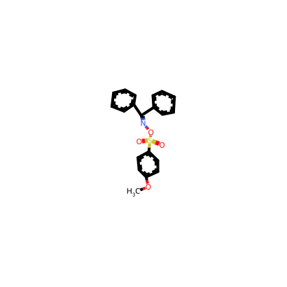 COc1ccc(S(=O)(=O)ON=C(c2ccccc2)c2ccccc2)cc1